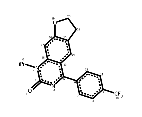 CC(C)n1c(=O)nc(-c2ccc(C(F)(F)F)cc2)c2cc3c(cc21)OCC3